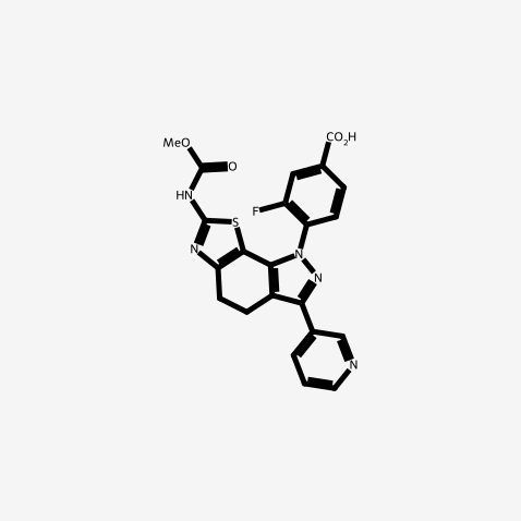 COC(=O)Nc1nc2c(s1)-c1c(c(-c3cccnc3)nn1-c1ccc(C(=O)O)cc1F)CC2